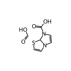 O=C(O)N1C=CN2C=CSC21.O=CO